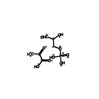 CC(=O)C(=O)O.O=CC(O)COP(=O)(O)O